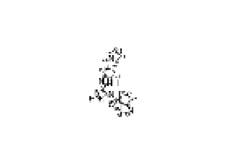 O=C(Nc1c[nH]nc1-c1nc2cc(CN3CCOCC3)ccc2[nH]1)c1cccc2nccnc12